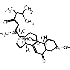 CC(C)C(C)C(=O)C[C@@H](C)[C@H]1CC[C@H]2C3=CC(=O)C4C[C@@H](O)CC[C@]4(C)[C@@]3(O)CC[C@]12C